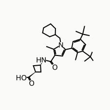 Cc1c(-c2cc(C(=O)N[C@H]3C[C@H](C(=O)O)C3)c(C)n2CC2CCCCC2)cc(C(C)(C)C)cc1C(C)(C)C